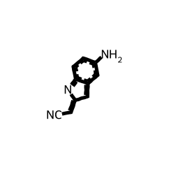 N#C/C=C1/C=c2cc(N)ccc2=N1